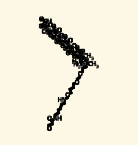 C[Si](C)(CCCOCCOCCCCOCNCCCCCCNC(=O)CC=O)O[Si](C)(C)[Si](=O)[Si](=O)[Si](=O)[Si](=O)[Si](=O)[Si](=O)[Si](=O)[Si](=O)[Si](=O)[Si](=O)[Si](=O)[Si](=O)[Si](=O)[Si](=O)[Si](=O)[Si](=O)[Si](=O)[Si](=O)[Si](=O)[SiH]=O